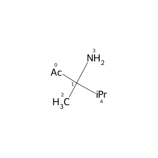 CC(=O)C(C)(N)C(C)C